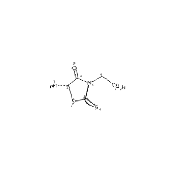 CCCC1SC(=S)N(CC(=O)O)C1=O